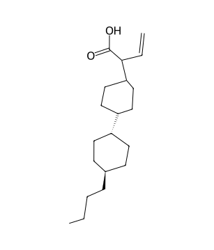 C=CC(C(=O)O)C1CCC([C@H]2CC[C@H](CCCC)CC2)CC1